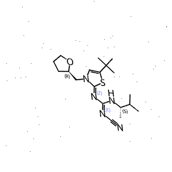 CC(C)[C@H](C)NC(/N=c1\sc(C(C)(C)C)cn1C[C@H]1CCCO1)=N\C#N